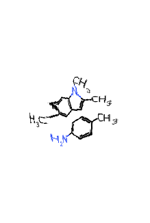 Cc1ccc(N)cc1.Cc1ccc2c(c1)cc(C)n2C